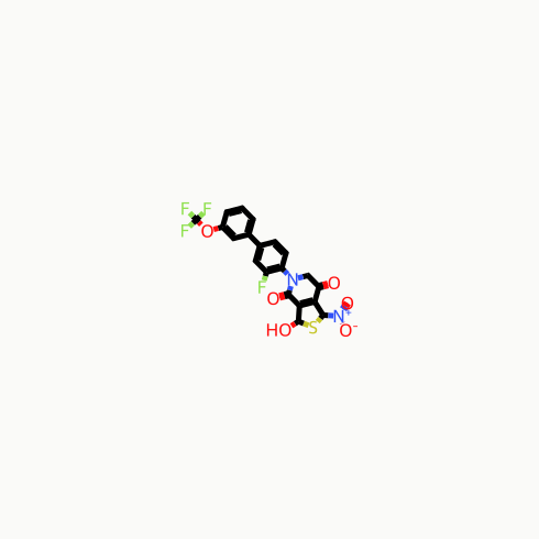 O=C1CN(c2ccc(-c3cccc(OC(F)(F)F)c3)cc2F)C(=O)C2=C1C([N+](=O)[O-])SC2O